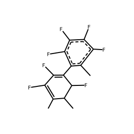 CC1=C(F)C(F)=C(c2c(C)c(F)c(F)c(F)c2F)C(F)C1C